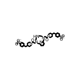 O=C(CN1CCNCCN(CC(=O)N2CCC(Cc3ccc([N+](=O)[O-])cc3)CC2)Cc2cccc(n2)C1)N1CCC(Cc2ccc([N+](=O)[O-])cc2)CC1